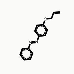 C=CCSc1ccc(/N=N/c2ccccc2)cc1